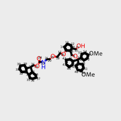 COc1ccc(C(OCc2c(CO)cccc2OCCOCCNC(=O)OCC2c3ccccc3-c3ccccc32)(c2ccccc2)c2ccc(OC)cc2)cc1